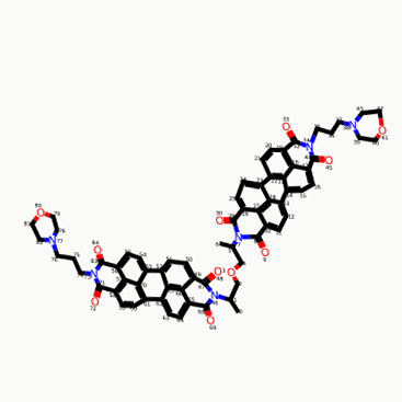 CC(COCC(C)N1C(=O)c2ccc3c4ccc5c6c(ccc(c7ccc(c2c37)C1=O)c64)C(=O)N(CCCN1CCOCC1)C5=O)N1C(=O)c2ccc3c4ccc5c6c(ccc(c7ccc(c2c37)C1=O)c64)C(=O)N(CCCN1CCOCC1)C5=O